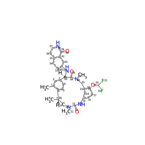 Cc1cc2ccc1[C@@H](C)CN(C)C(=O)Nc1ccc(OC(F)F)c(c1)CN(C)C(=O)[C@@H]2Nc1ccc2cc[nH]c(=O)c2c1